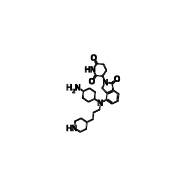 NC1CCC(N(CCCC2CCNCC2)c2cccc3c2CN(C2CCC(=O)NC2=O)C3=O)CC1